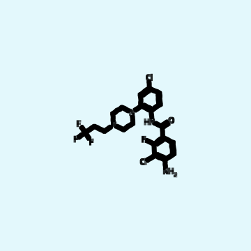 Nc1ccc(C(=O)Nc2ccc(Cl)cc2N2CCN(CCC(F)(F)F)CC2)c(F)c1Cl